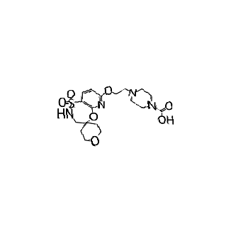 O=C(O)N1CCN(CCOc2ccc3c(n2)OC2(CCOCC2)CNS3(=O)=O)CC1